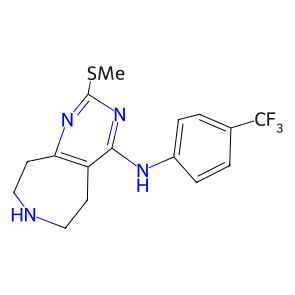 CSc1nc2c(c(Nc3ccc(C(F)(F)F)cc3)n1)CCNCC2